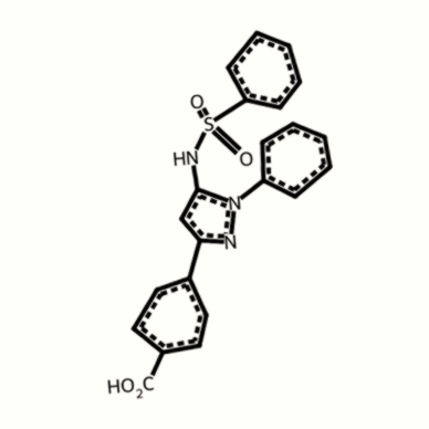 O=C(O)c1ccc(-c2cc(NS(=O)(=O)c3ccccc3)n(-c3ccccc3)n2)cc1